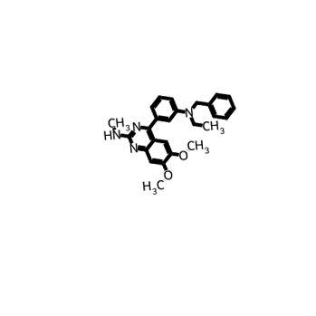 CCN(Cc1ccccc1)c1cccc(-c2nc(NC)nc3cc(OC)c(OC)cc23)c1